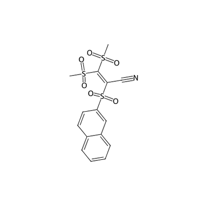 CS(=O)(=O)C(=C(C#N)S(=O)(=O)c1ccc2ccccc2c1)S(C)(=O)=O